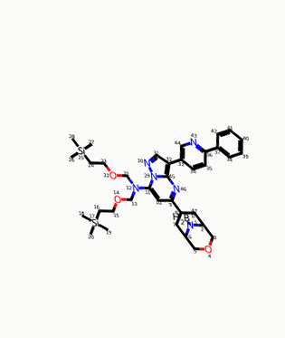 BN1C2COCC1CC(c1cc(N(COCC[Si](C)(C)C)COCC[Si](C)(C)C)n3ncc(-c4ccc(-c5ccccc5)nc4)c3n1)C2